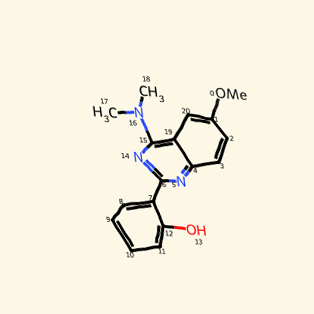 COc1ccc2nc(-c3ccccc3O)nc(N(C)C)c2c1